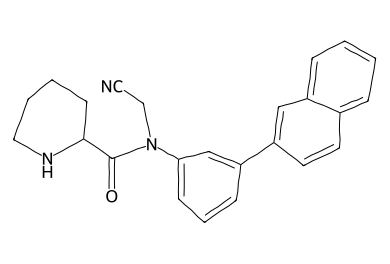 N#CCN(C(=O)C1CCCCN1)c1cccc(-c2ccc3ccccc3c2)c1